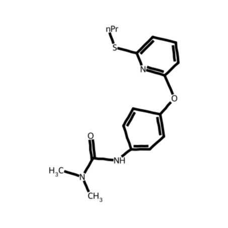 CCCSc1cccc(Oc2ccc(NC(=O)N(C)C)cc2)n1